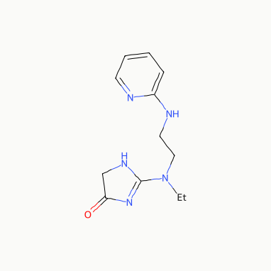 CCN(CCNc1ccccn1)C1=NC(=O)CN1